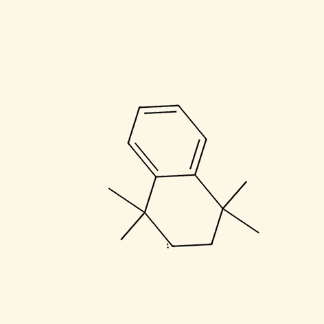 CC1(C)[C]CC(C)(C)c2ccccc21